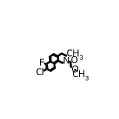 COCC(=O)N1Cc2c(ccc3c(F)c(Cl)ccc23)C[C@H]1C